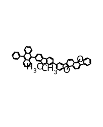 CC1(C)c2cc(-c3ccc4oc5c(ccc6c5ccc5c7ccccc7oc56)c4c3)ccc2-c2ccc(-c3c4ccccc4c(-c4ccccc4)c4ccccc34)cc21